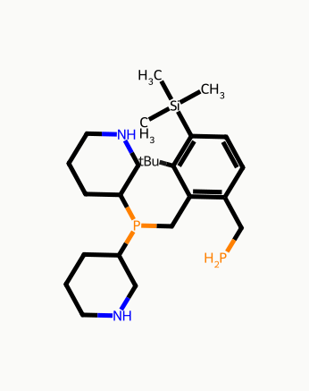 CC(C)(C)c1c([Si](C)(C)C)ccc(CP)c1CP(C1CCCNC1)C1CCCNC1